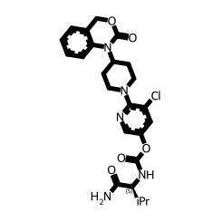 CC(C)[C@H](NC(=O)Oc1cnc(N2CCC(N3C(=O)OCc4ccccc43)CC2)c(Cl)c1)C(N)=O